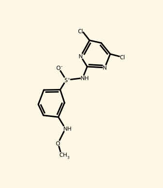 CONc1cccc([S+]([O-])Nc2nc(Cl)cc(Cl)n2)c1